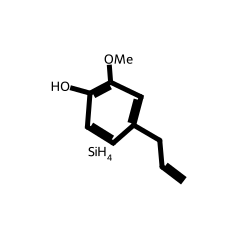 C=CCc1ccc(O)c(OC)c1.[SiH4]